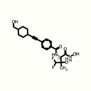 CC(O)(C(F)F)[C@H](NC(=O)c1ccc(C#CC2CCC(CO)CC2)cc1)C(=O)NO